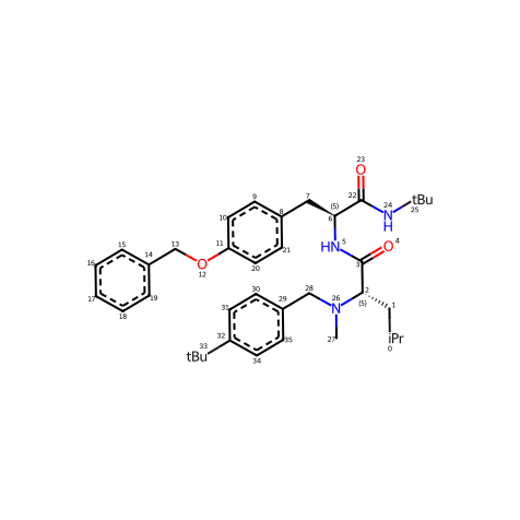 CC(C)C[C@@H](C(=O)N[C@@H](Cc1ccc(OCc2ccccc2)cc1)C(=O)NC(C)(C)C)N(C)Cc1ccc(C(C)(C)C)cc1